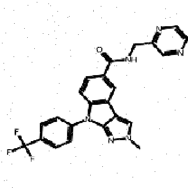 Cn1cc2c3cc(C(=O)NCc4cnccn4)ccc3n(-c3ccc(C(F)(F)F)cc3)c2n1